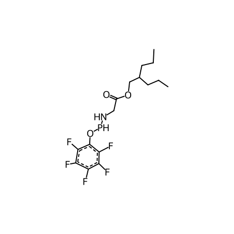 CCCC(CCC)COC(=O)CNPOc1c(F)c(F)c(F)c(F)c1F